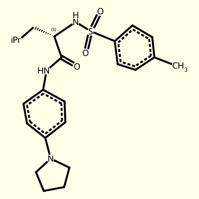 Cc1ccc(S(=O)(=O)N[C@@H](CC(C)C)C(=O)Nc2ccc(N3CCCC3)cc2)cc1